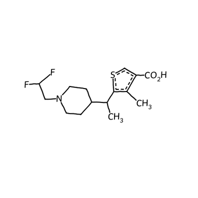 Cc1c(C(=O)O)csc1C(C)C1CCN(CC(F)F)CC1